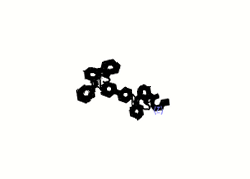 C=C/C=C\c1sc2c(N(c3ccccc3)c3ccc(-c4ccc(N(c5ccccc5)c5cccc6c5sc5ccccc56)cc4)cc3)cccc2c1C